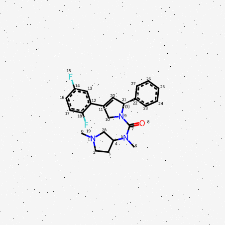 CN1CCC(N(C)C(=O)N2CC(c3cc(F)ccc3F)=C[C@H]2c2ccccc2)C1